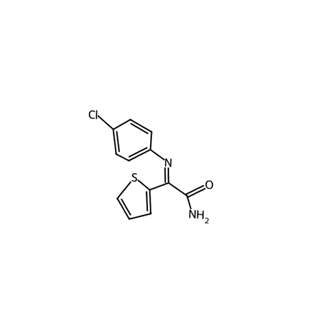 NC(=O)C(=Nc1ccc(Cl)cc1)c1cccs1